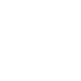 CCCCc1ccc2[c]c[nH]c2c1